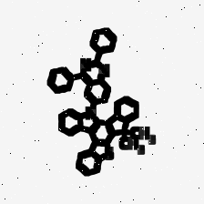 CC1(C)c2ccccc2-c2c1c1sc3ccccc3c1c1c3ccccc3n(-c3ccc4nc(-c5ccccc5)nc(-c5ccccc5)c4c3)c21